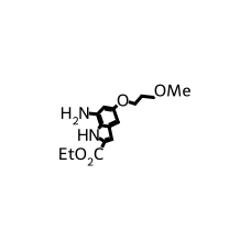 CCOC(=O)c1cc2cc(OCCCOC)cc(N)c2[nH]1